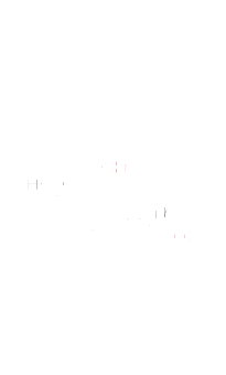 O=C(O)C(O)C(O)C(=O)O.OCCc1ccccc1